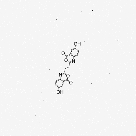 O=c1oc(CCc2nc3ccc(O)cc3c(=O)o2)nc2ccc(O)cc12